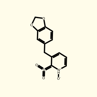 O=S(=O)=C1C(Cc2ccc3c(c2)OCO3)=CC=C[NH+]1[O-]